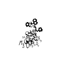 CC(C)CC(C(=O)N1CCOC[C@@H]1C(=O)NC(COc1ccc2ccccc2c1C(=O)OCc1ccccc1)Cc1ccccc1)N(C)C(=O)OC(C)(C)C